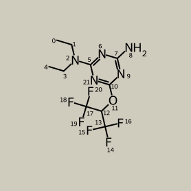 CCN(CC)c1nc(N)nc(OC(C(F)(F)F)C(F)(F)F)n1